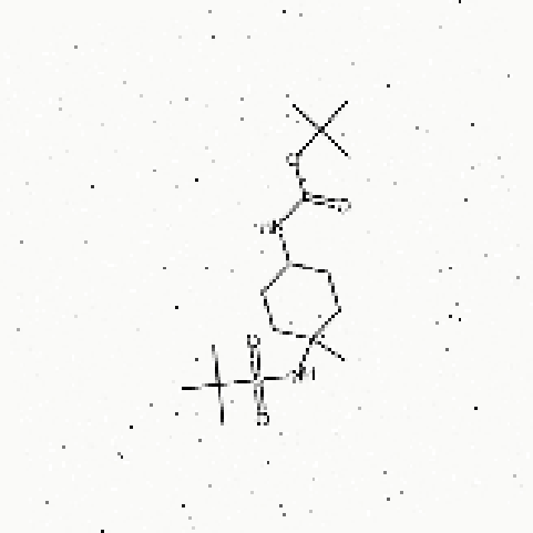 CC1(NS(=O)(=O)C(C)(C)C)CCC(NC(=O)OC(C)(C)C)CC1